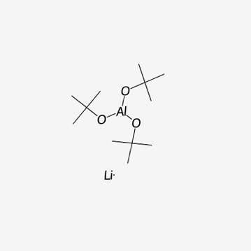 CC(C)(C)[O][Al]([O]C(C)(C)C)[O]C(C)(C)C.[Li]